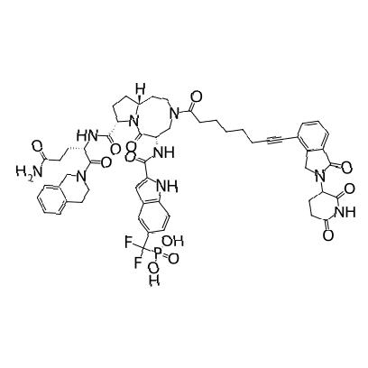 NC(=O)CC[C@H](NC(=O)[C@@H]1CC[C@@H]2CCN(C(=O)CCCCCC#Cc3cccc4c3CN(C3CCC(=O)NC3=O)C4=O)C[C@H](NC(=O)c3cc4cc(C(F)(F)P(=O)(O)O)ccc4[nH]3)C(=O)N21)C(=O)N1CCc2ccccc2C1